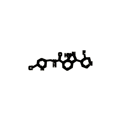 O=C(NCc1ccc(Cl)nc1)c1cccc2c(-c3ccncc3F)n[nH]c12